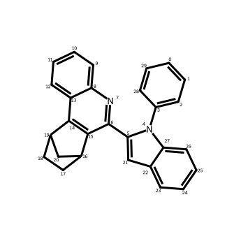 c1ccc(-n2c(-c3nc4ccccc4c4c3C3CCC4C3)cc3ccccc32)cc1